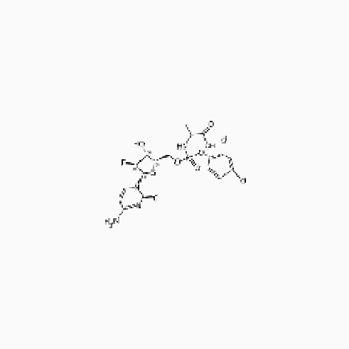 CC(NP(=O)(OC[C@H]1S[C@@H](n2ccc(N)nc2=O)[C@@H](F)[C@@H]1O)Oc1ccc(Cl)cc1Cl)C(=O)O